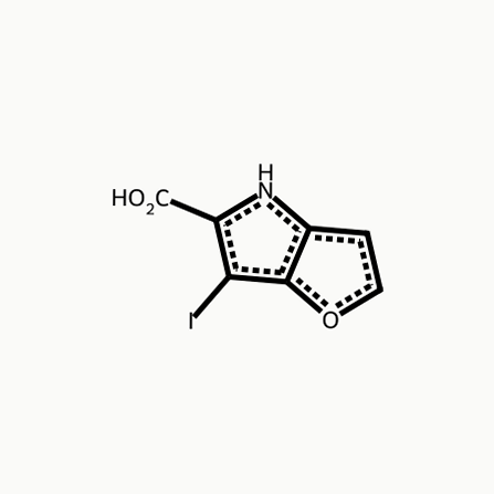 O=C(O)c1[nH]c2ccoc2c1I